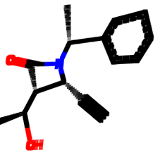 C#C[C@@H]1[C@H]([C@H](C)O)C(=O)N1[C@H](C)c1ccccc1